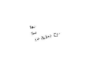 [Cd+2].[S+2].[Se-2].[Se-2].[Se-2].[Zn+2]